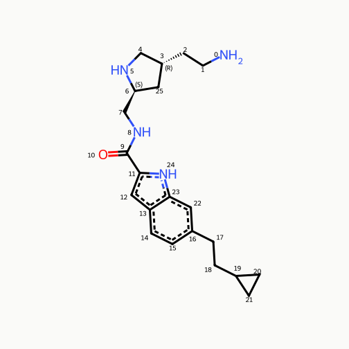 NCC[C@H]1CN[C@H](CNC(=O)c2cc3ccc(CCC4CC4)cc3[nH]2)C1